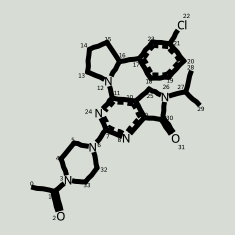 CC(=O)N1CCN(c2nc3c(c(N4CCCC4c4cccc(Cl)c4)n2)CN(C(C)C)C3=O)CC1